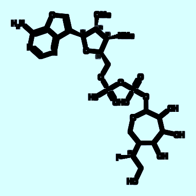 CN[C@H]1[C@@H](OC)[C@H](c2coc3c(N)ncnc23)O[C@@H]1COP(=O)(S)OP(=O)(O)OC1OCC([C@@H](F)CO)C(O)C(O)C1O